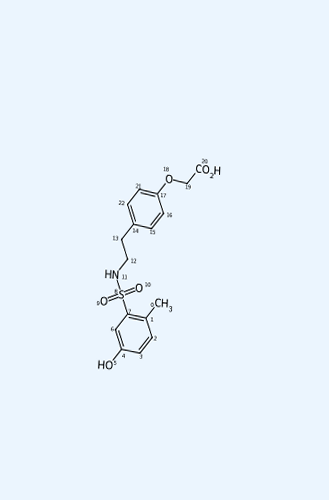 Cc1ccc(O)cc1S(=O)(=O)NCCc1ccc(OCC(=O)O)cc1